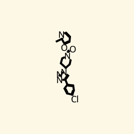 Cc1ncccc1OC(=O)N1CCC(n2cc(-c3ccc(Cl)cc3)nn2)CC1